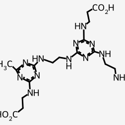 Cc1nc(NCCNc2nc(NCCN)nc(NCCC(=O)O)n2)nc(NCCC(=O)O)n1